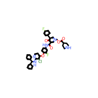 O=C(Nc1ccc(Oc2ccnc(NC(c3ccccc3)c3ccccc3)c2Cl)c(F)c1)c1cn(COC(=O)C2CCNCC2)cc(-c2ccc(F)cc2)c1=O